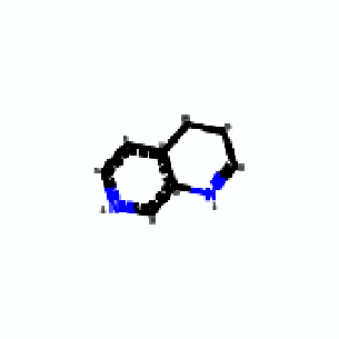 [C]1=Nc2cnccc2CC1